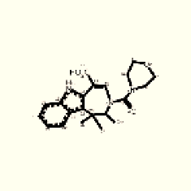 CC(C)C1N(C(=O)N2CCOCC2)C=C(C(=O)O)c2[nH]c3ccccc3c2C1(C)C